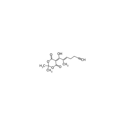 C#CCC/C=C(\C)C(O)=C1C(=O)OC(C)(C)OC1=O